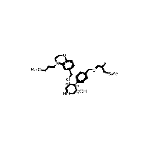 COCCCN1CCOc2ccc(CO[C@H]3CNC[C@@H](O)[C@@H]3c3ccc(COCC(C)CSC)cc3)cc21